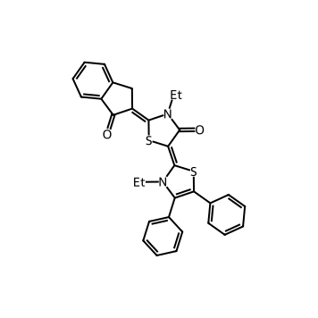 CCN1C(c2ccccc2)=C(c2ccccc2)S/C1=c1/s/c(=C2/Cc3ccccc3C2=O)n(CC)c1=O